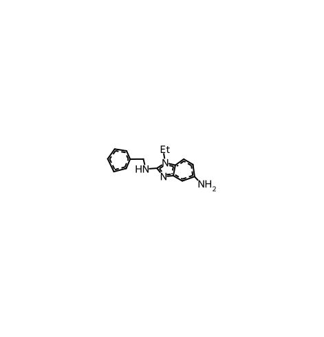 CCn1c(NCc2ccccc2)nc2cc(N)ccc21